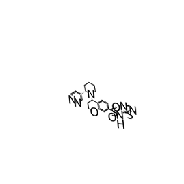 O=S(=O)(Nc1ncns1)c1ccc2c(c1)OCC[C@@H]2N1CCCC[C@H]1c1ccnnc1